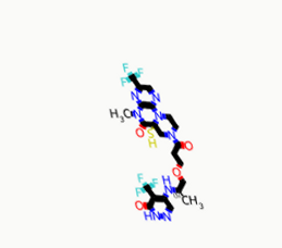 C[C@@H](COCCC(=O)N1CCN2c3ncc(C(F)(F)F)nc3N(C)C(=O)[C@@]2(S)C1)Nc1cn[nH]c(=O)c1C(F)(F)F